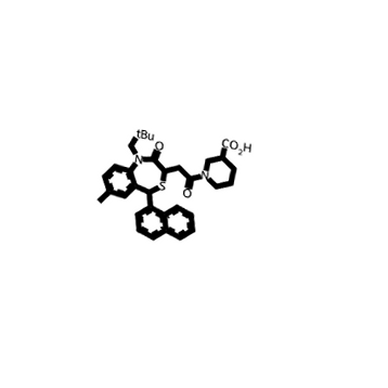 Cc1ccc2c(c1)C(c1cccc3ccccc13)SC(CC(=O)N1CCCC(C(=O)O)C1)C(=O)N2CC(C)(C)C